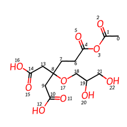 CC(=O)OC(=O)CCC(CC(=O)O)(CC(=O)O)OCC(O)CO